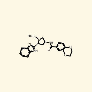 O=C(N[C@H]1C[C@@H](c2nc3ccccc3[nH]2)N(C(=O)O)C1)c1ccc2c(c1)OCCO2